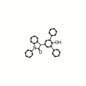 O=C1C(c2cc(-c3ccccc3)c(O)c(-c3ccccc3)c2)c2ccccc2N1c1ccccc1